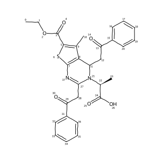 CCOC(=O)c1sc2c(c1C)C(CC(=O)c1ccccc1)N([C@@H](C)C(=O)O)C(CC(=O)c1ccccc1)=N2